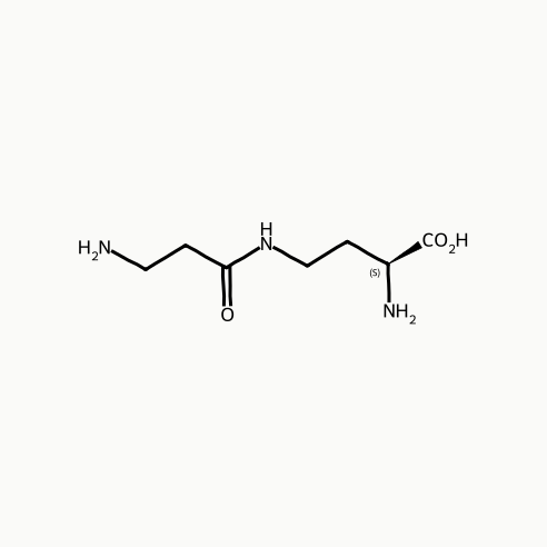 NCCC(=O)NCC[C@H](N)C(=O)O